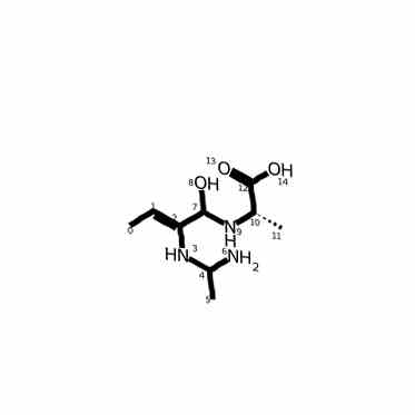 C/C=C(\NC(C)N)C(O)N[C@@H](C)C(=O)O